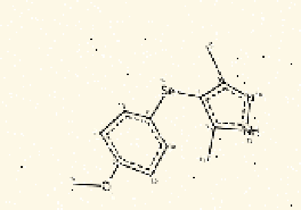 COc1ccc([Se]c2c(C)n[nH]c2C)cc1